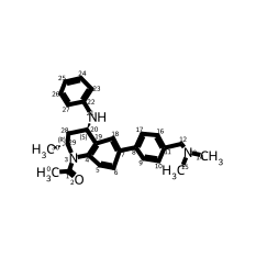 CC(=O)N1c2ccc(-c3ccc(CN(C)C)cc3)cc2[C@@H](Nc2ccccc2)C[C@H]1C